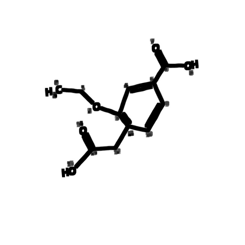 CCOc1cc(C(=O)O)ccc1CC(=O)O